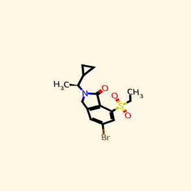 CCS(=O)(=O)c1cc(Br)cc2c1C(=O)N([C@@H](C)C1CC1)C2